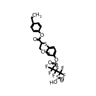 C=Cc1ccc(OC(=O)C(CC)Sc2ccc(OS(=O)(=O)C(F)(F)C(F)(F)C(F)(F)S(=O)(=O)O)cc2)cc1